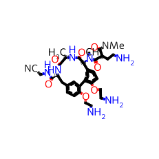 CNC(=O)C(CCN)C(=O)N(C)[C@@H]1C(=O)N[C@@H](C)C(=O)N[C@H](C(=O)NCC#N)Cc2ccc(OCCN)c(c2)-c2cc1ccc2OCCN